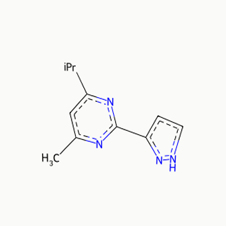 Cc1cc(C(C)C)nc(-c2cc[nH]n2)n1